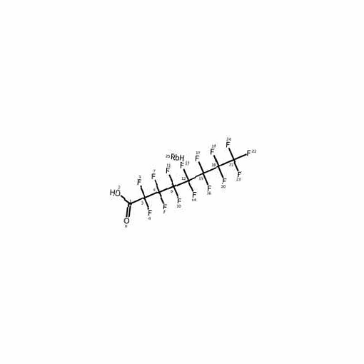 O=C(O)C(F)(F)C(F)(F)C(F)(F)C(F)(F)C(F)(F)C(F)(F)C(F)(F)F.[RbH]